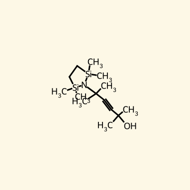 CC(C)(O)C#CC(C)(C)N1[Si](C)(C)CC[Si]1(C)C